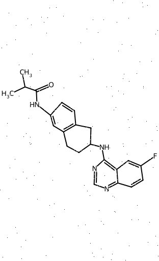 CC(C)C(=O)Nc1ccc2c(c1)CCC(Nc1ncnc3ccc(F)cc13)C2